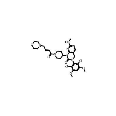 CNc1ncc2c(n1)N(C1CCN(C(=O)C=CCN3CCOCC3)CC1)C(=O)N(c1c(Cl)c(OC)cc(OC)c1Cl)C2